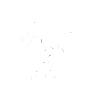 CCCN(C=Nc1nc(N=CN(CCC)C2CCCCC2)nc(N=CN(CCC)C2CCCCC2)n1)C1CCCCC1